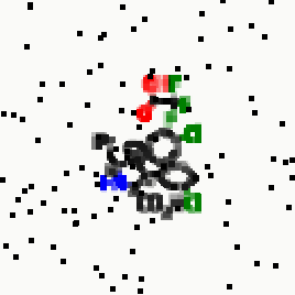 CC(C)C[C@@H]1N[C@@H](C(=O)O)[C@H](c2cccc(Cl)c2)[C@@]1(C#N)c1ccc(Cl)cc1.O=C(O)C(F)(F)F